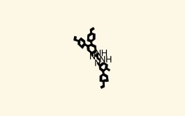 C=Cc1ccc(-c2cc3nc(-c4nc5cc(-c6ccc(C=C)cc6)c(-c6ccc(C=C)cc6)cc5[nH]4)[nH]c3cc2C)cc1